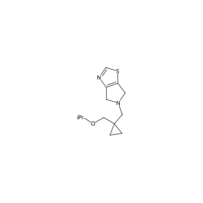 CC(C)OCC1(CN2Cc3ncsc3C2)CC1